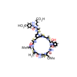 CNC(=O)C[C@@H]1NC(=O)c2csc(n2)-c2ccc(-c3nc(N(CCCCC(=O)O)C(=O)N[C@H]4CC[C@H](C(=O)O)CC4)cs3)nc2-c2csc(n2)-c2csc(n2)[C@H]([C@@H](O)c2ccccc2)NC(=O)CNC(=O)c2nc(sc2COC)[C@H](C(C)C)NC(=O)c2nc1sc2C